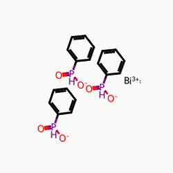 O=[PH]([O-])c1ccccc1.O=[PH]([O-])c1ccccc1.O=[PH]([O-])c1ccccc1.[Bi+3]